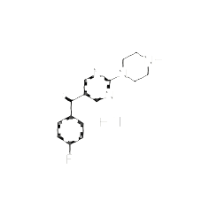 Cl.O=C(c1ccc(F)cc1)c1cnc(N2CCNCC2)nc1